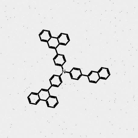 c1ccc2cc(-c3ccc(N(c4ccc(-c5cc6ccccc6c6ccccc56)cc4)c4ccc(-c5cc6ccccc6c6ccccc56)cc4)cc3)ccc2c1